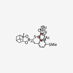 CSc1ccc(C[C@H](Sc2nncn2N)B2OC3CC4CC(C4(C)C)[C@]3(C)O2)c(OC(=O)OC(C)(C)C)c1C(C)=O